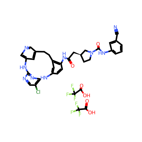 N#Cc1cccc(NC(=O)N2CC[C@@H](CC(=O)Nc3ccc4cc3CCc3cncc(c3)Nc3ncc(Cl)c(n3)N4)C2)c1.O=C(O)C(F)(F)F.O=C(O)C(F)(F)F